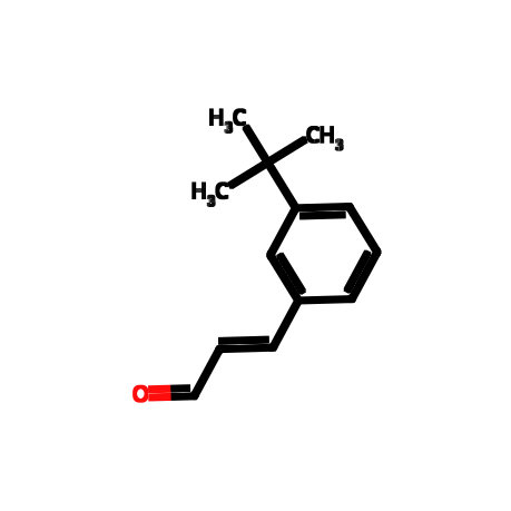 CC(C)(C)c1cccc(/C=C/C=O)c1